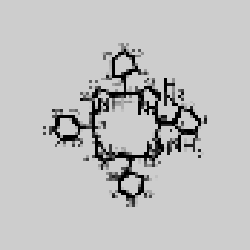 Nc1cccc(N)c1-c1c2nc(c(-c3ccccc3)c3ccc([nH]3)c(-c3ccccc3)c3nc(c(-c4ccccc4)c4ccc1[nH]4)C=C3)C=C2